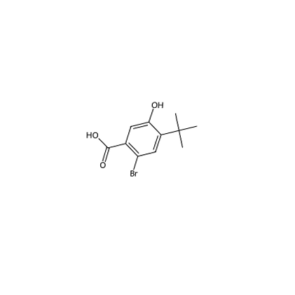 CC(C)(C)c1cc(Br)c(C(=O)O)cc1O